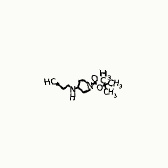 C#CCCNC1CCN(C(=O)OC(C)(C)C)CC1